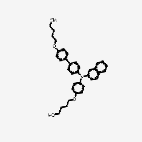 OCCCCOc1ccc(-c2ccc(N(c3ccc(OCCCCO)cc3)c3ccc4ccccc4c3)cc2)cc1